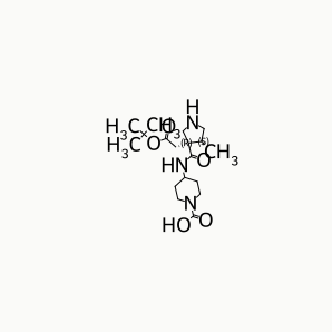 C[C@@H]1CNC[C@]1(CC(=O)OC(C)(C)C)C(=O)NC1CCN(C(=O)O)CC1